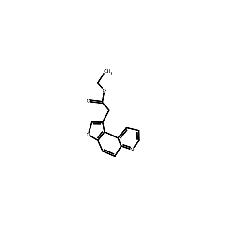 CCOC(=O)Cc1coc2ccc3ncccc3c12